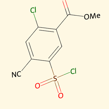 COC(=O)c1cc(S(=O)(=O)Cl)c(C#N)cc1Cl